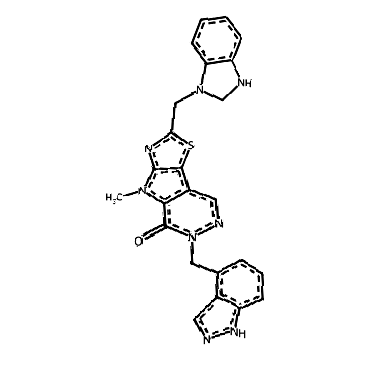 Cn1c2nc(CN3CNc4ccccc43)sc2c2cnn(Cc3cccc4[nH]ncc34)c(=O)c21